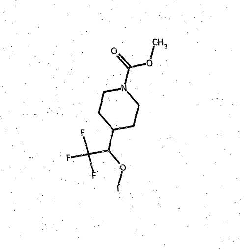 COC(=O)N1CCC(C(OI)C(F)(F)F)CC1